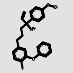 C=CC(CCC)(CCCc1ccc(F)c(Oc2ccccc2)c1)c1ccc(OCC)cc1